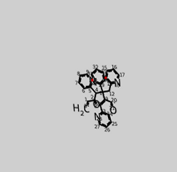 C=CC(=O)C(c1ccccn1)C(Cc1ccccn1)(/C([C]=O)=C/c1ccccn1)c1ccccn1